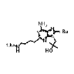 CCCCc1nc2c(N)nc(CCCCNC(C)(C)C)nc2n1CC(C)(C)O